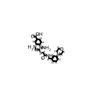 N/N=C(/SCC(=O)NCc1cccc(N2CCOCC2)c1)N(N)c1ccc(C(=O)O)cc1